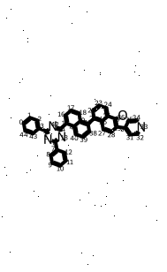 c1ccc(-c2nc(-c3ccccc3)nc(-c3cccc4c(-c5cccc6c5ccc5c7ccncc7oc65)cccc34)n2)cc1